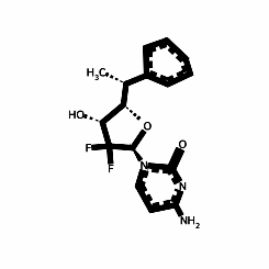 C[C@H](c1cc[c]cc1)[C@@H]1O[C@@H](n2ccc(N)nc2=O)C(F)(F)[C@@H]1O